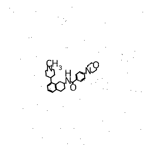 CN1CCC(c2cccc3c2CC(NC(=O)c2ccc(N4CCOCC4)cc2)CC3)CC1